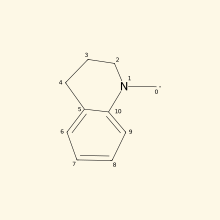 [CH2]N1CCCc2ccccc21